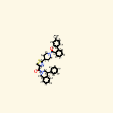 O=C(c1csc(C2CCN(C(=O)c3ccccc3-c3ccc(C(F)(F)F)cc3)CC2)n1)N1Cc2ccccc2C(c2ccccc2)C1